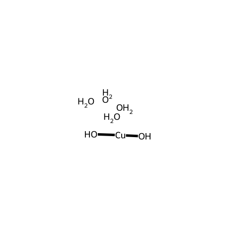 O.O.O.O.[OH][Cu][OH]